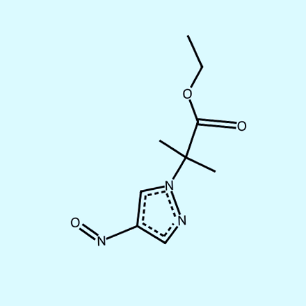 CCOC(=O)C(C)(C)n1cc(N=O)cn1